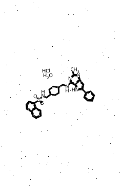 Cc1nc(NCC2CCC(CNS(=O)(=O)c3cccc4ccccc34)CC2)c2[nH]c(-c3ccccc3)cc2n1.Cl.O